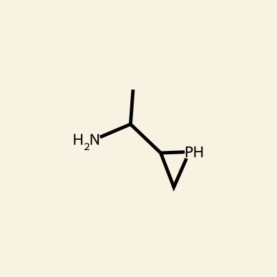 CC(N)C1CP1